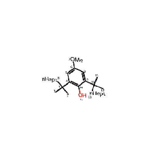 CCCCCCCC(C)(C)c1cc(OC)cc(C(C)(C)CCCCCCC)c1O